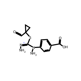 N/N=C(/SC1(C=O)CC1)N(N)c1ccc(C(=O)O)cc1